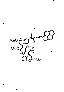 COC(=O)CN(CC(=O)OC)c1ccccc1OCCOc1cc(NC(=O)CCCc2ccc3ccc4cccc5ccc2c3c45)ccc1N(CC(=O)OC)CC(=O)OC